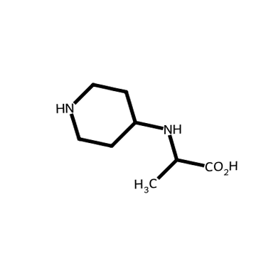 CC(NC1CCNCC1)C(=O)O